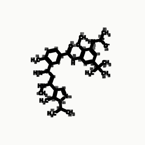 CN/C(=C\N(N)c1cc(C(=O)Nc2cc(C(C)(C)C)cc(N[S+](C)[O-])c2OC)ccc1C)c1cnn(C(C)C)c1C